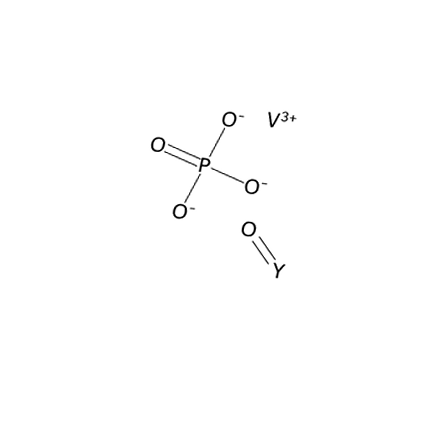 O=P([O-])([O-])[O-].[O]=[Y].[V+3]